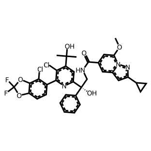 COc1cc(C(=O)NC[C@@](O)(c2ccccc2)c2cc(C(C)(C)O)c(Cl)c(-c3ccc4c(c3Cl)OC(F)(F)O4)n2)cc2cc(C3CC3)nn12